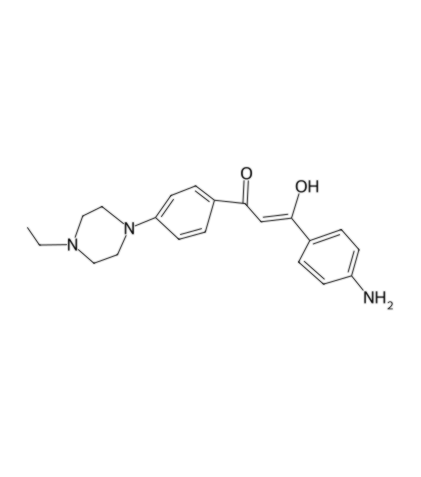 CCN1CCN(c2ccc(C(=O)C=C(O)c3ccc(N)cc3)cc2)CC1